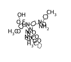 COc1cc(OCCO)c(F)c([C@@H](Nc2ccc(/C(N)=N/C(=O)c3ccc(C)cc3)cc2)c2nc(OC(C)OC(=O)O[C@@H]3CCCC[C@H]3C)n(-c3ncccn3)n2)c1